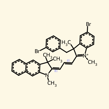 CN1/C(=C/C=C/C2=[N+](C)c3ccc(Br)cc3C2(C)Cc2cccc(Br)c2)C(C)(C)c2cc3ccccc3cc21